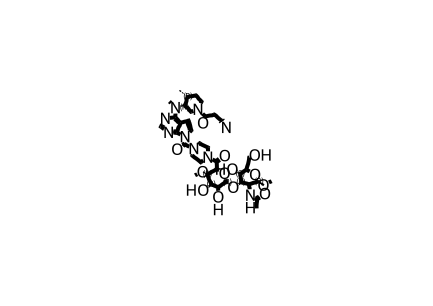 CO[C@@H]1OC(CO)[C@@H](O)[C@H](O[C@@H]2OC(C(=O)N3CCN(C(=O)n4ccc5c(N(C)[C@H]6CN(C(=O)CC#N)CC[C@H]6C)ncnc54)CC3)[C@@H](OC)[C@H](O)C2O)C1NC(C)=O